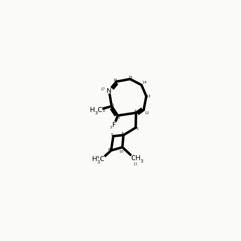 CC1=C(\F)C(CC2CC(C)C2C)=CCCC/C=N\1